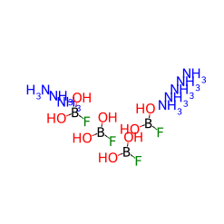 N.N.N.N.N.N.N.N.OB(O)F.OB(O)F.OB(O)F.OB(O)F